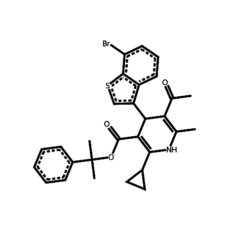 CC(=O)C1=C(C)NC(C2CC2)=C(C(=O)OC(C)(C)c2ccccc2)C1c1csc2c(Br)cccc12